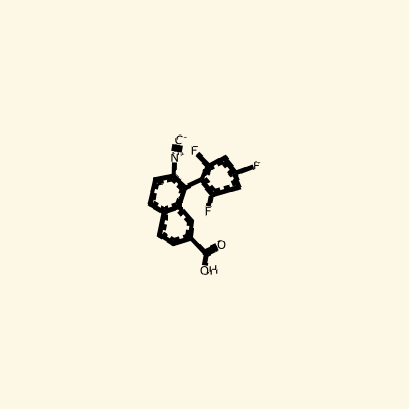 [C-]#[N+]c1ccc2ccc(C(=O)O)cc2c1-c1c(F)cc(F)cc1F